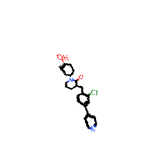 O=C1C(Cc2ccc(-c3ccncc3)cc2Cl)CCCN1[C@H]1CC[C@@H](O)CC1